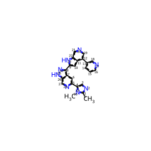 Cc1ncc(-c2cc3c(-c4cc5c(-c6cccnc6)cncc5[nH]4)n[nH]c3cn2)n1C